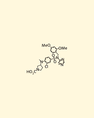 COc1ccc(CN(c2ncns2)S(=O)(=O)c2ccc(N(C)C3CCN(C(=O)O)C3)c(Cl)c2)c(OC)c1